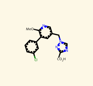 COc1ncc(Cn2cnc(C(=O)O)n2)cc1-c1cccc(Cl)c1